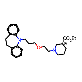 CCOC(=O)[C@@H]1CCCN(CCOCCCN2c3ccccc3CCc3ccccc32)C1